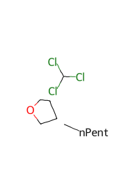 C1CCOC1.CCCCCC.ClC(Cl)Cl